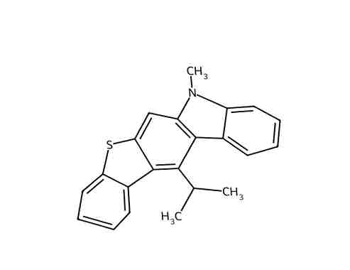 CC(C)c1c2c(cc3c1c1ccccc1n3C)sc1ccccc12